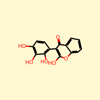 O=c1c(-c2ccc(O)c(O)c2O)c(O)oc2ccccc12